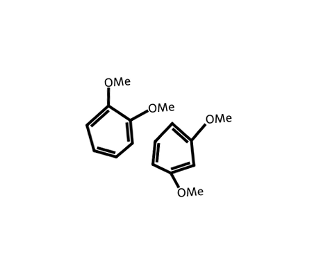 COc1cccc(OC)c1.COc1ccccc1OC